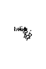 Bc1ccc(F)cc1C1CCCN1c1ccn2ncc(NC(=O)N3CC(OI)C3)c2n1